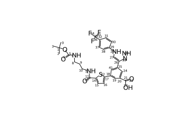 CC(C)(C)OC(=O)NCCCNC(=O)c1ccc(-c2cc(C(=O)O)cc(/C(=C/Nc3ccc(C(F)(F)F)cc3)N=N)c2)s1